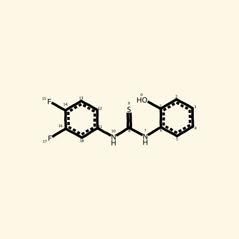 Oc1ccccc1NC(=S)Nc1ccc(F)c(F)c1